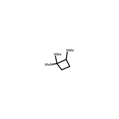 CN[C]1CCC1(NC)NC